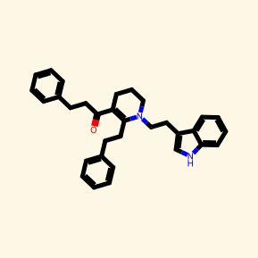 O=C(CCc1ccccc1)C1=C(CCc2ccccc2)N(CCc2c[nH]c3ccccc23)CCC1